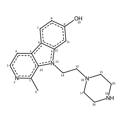 Cc1nccc2c3ccc(O)cc3n(CCN3CCNCC3)c12